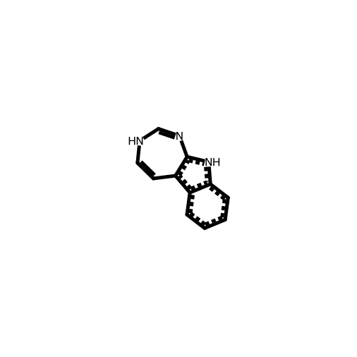 C1=Cc2c([nH]c3ccccc23)N=CN1